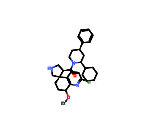 CCOC1CC[C@]2(CNC[C@H]2C(=O)N2CC[C@@H](c3ccccc3)C[C@H]2C2CCCCC2)c2ccc(Cl)nc21